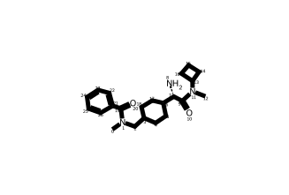 CN(CC1CCC([C@H](N)C(=O)N(C)C2CCC2)CC1)C(=O)c1ccccc1